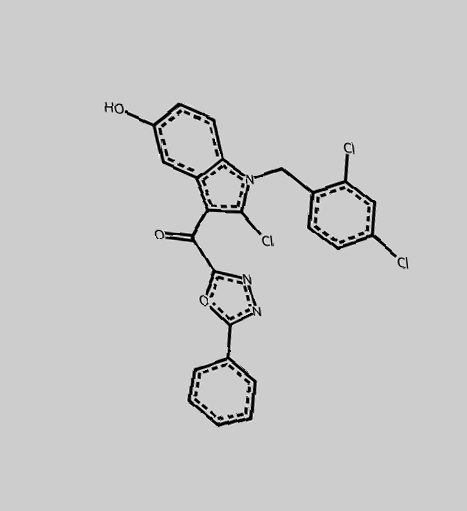 O=C(c1nnc(-c2ccccc2)o1)c1c(Cl)n(Cc2ccc(Cl)cc2Cl)c2ccc(O)cc12